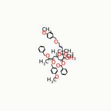 COc1ccc(COC/C=C/C(C)(C)[C@]2(OC)O[C@H](C[C@@H](OCc3ccc(OC)cc3)[C@@H](C)OCc3ccccc3)C[C@H](OC(=O)c3ccccc3)[C@@H]2O)cc1